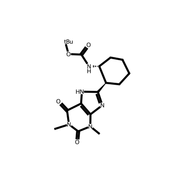 Cn1c(=O)c2[nH]c([C@@H]3CCCC[C@H]3NC(=O)OC(C)(C)C)nc2n(C)c1=O